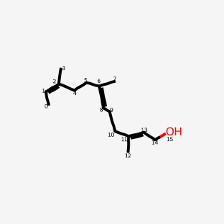 CC=C(C)CCC(C)=CCCC(C)=CCO